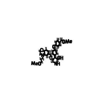 COCCCN1CCOc2ccc(COC3CNCC(O)C3c3ccc(Oc4ccc(COC)cc4)cc3)cc21